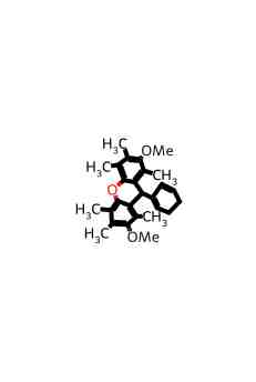 COc1c(C)c(C)c2c(c1C)C(C1=CCCC=C1)c1c(C)c(OC)c(C)c(C)c1O2